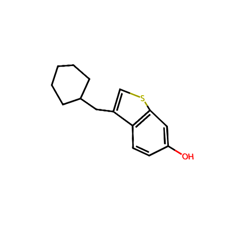 Oc1ccc2c(CC3CCCCC3)csc2c1